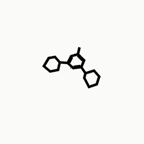 Cc1cc(C2CCCCC2)[c]c(C2CCCCC2)c1